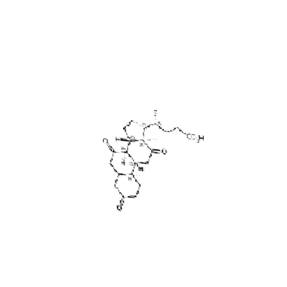 C[C@H](CCC(=O)O)[C@H]1CC[C@H]2[C@@H]3C(=O)CC4CC(=O)CC[C@]4(C)[C@H]3CC(=O)[C@]12C